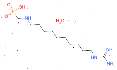 N=C(N)NCCCCCCCCCCNCP(=O)(O)O.O